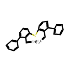 C=Cc1c(Sc2cccc(-c3ccccc3)c2C=C)cccc1-c1ccccc1